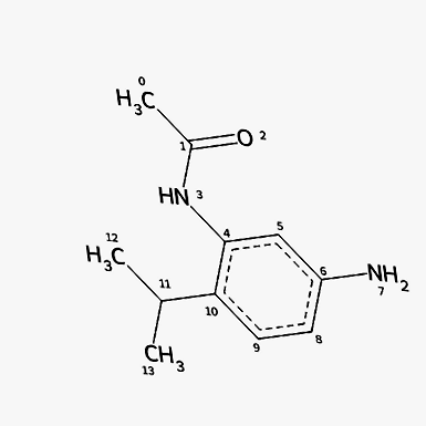 CC(=O)Nc1cc(N)ccc1C(C)C